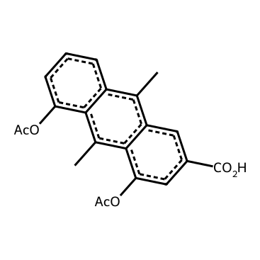 CC(=O)Oc1cccc2c(C)c3cc(C(=O)O)cc(OC(C)=O)c3c(C)c12